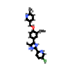 COc1cc(-c2nc(-c3ccc(Cl)cn3)[nH]c2C)ccc1OCc1ccc(C(F)(F)F)nc1